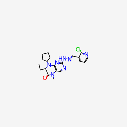 CCC1C(=O)N(C)c2cnc(N/N=C/c3cccnc3Cl)nc2N1C1CCCC1